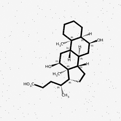 C[C@H](CCC(=O)O)[C@H]1CC[C@H]2[C@@H]3C[C@H](O)[C@@H]4CCCC[C@]4(C)[C@H]3C[C@H](O)[C@]12C